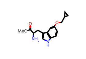 COC(=O)C(N)Cc1c[nH]c2ccc(OCC3CC3)cc12